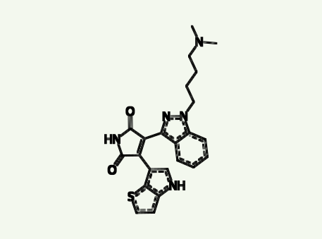 CN(C)CCCCn1nc(C2=C(c3c[nH]c4ccsc34)C(=O)NC2=O)c2ccccc21